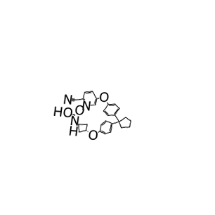 N#Cc1ccc(Oc2ccc(C3(c4ccc(O[C@H]5C[C@H](NC(=O)O)C5)cc4)CCCC3)cc2)cn1